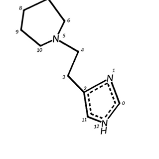 c1nc(CCN2CCCCC2)c[nH]1